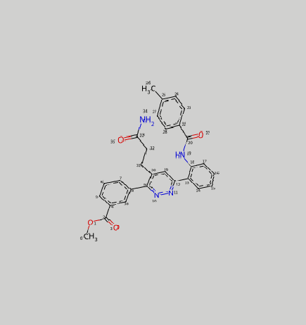 COC(=O)c1cccc(-c2nnc(-c3ccccc3NC(=O)c3ccc(C)cc3)cc2CCC(N)=O)c1